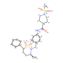 C[C@H]1CCC(c2ccccc2)S(=O)(=O)N1Cc1ccc(NC(=O)C2CCN(S(C)(=O)=O)CC2)cc1F